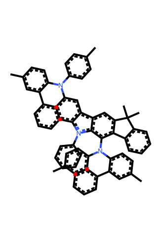 Cc1ccc(N(c2ccc3c(c2)c2cc4c(c(N(c5ccc(C)cc5)c5ccc(C)cc5-c5ccccc5)c2n3-c2ccccc2)-c2ccccc2C4(C)C)c2ccc(C)cc2-c2ccccc2)cc1